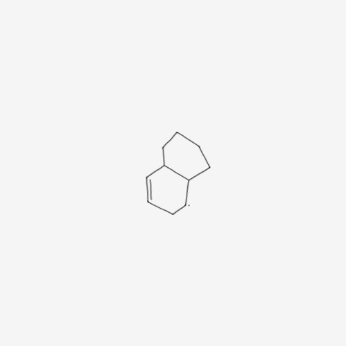 [CH]1CC=CC2CCCCC12